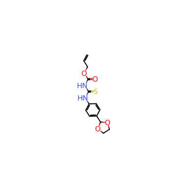 C=CCOC(=O)NC(=S)Nc1ccc(C2OCCO2)cc1